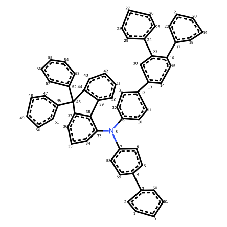 c1ccc(-c2ccc(N(c3ccc(-c4ccc(-c5ccccc5)c(-c5ccccc5)c4)cc3)c3cccc4c3-c3ccccc3C4(c3ccccc3)c3ccccc3)cc2)cc1